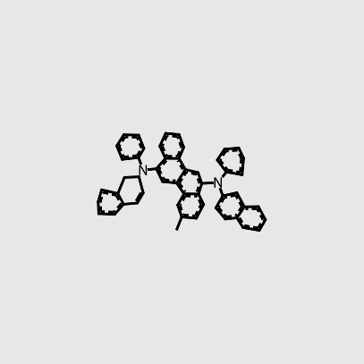 Cc1ccc2c(N(c3ccccc3)c3ccc4ccccc4c3)cc3c4ccccc4c(N(c4ccccc4)C4C=Cc5ccccc5C4)cc3c2c1